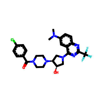 CN(C)c1ccc2nc(C(F)(F)F)nc(N3C[C@H](O)[C@@H](N4CCN(C(=O)c5ccc(Cl)cc5)CC4)C3)c2c1